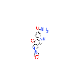 CC1(C)C2=C(C(=O)c3cnc(N4CCOCC4)cc31)C1C=CC(C(N)=O)=CC1N2